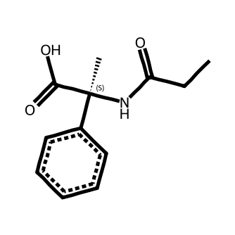 CCC(=O)N[C@](C)(C(=O)O)c1ccccc1